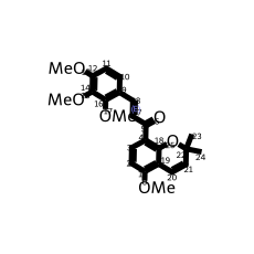 COc1ccc(C(=O)/C=C/c2ccc(OC)c(OC)c2OC)c2c1C=CC(C)(C)O2